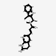 Cc1c([C@@H](C)N(C)C(=O)/C=C/c2cnc3c(c2)CCC(=O)N3)oc2ccccc12